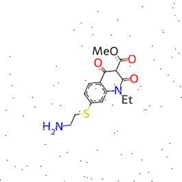 CCN1C(=O)C(C(=O)OC)C(=O)c2ccc(SCCN)cc21